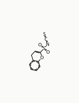 O=S(=O)(N=C=S)C1=CCc2ccccc2O1